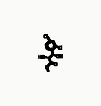 COC(=O)[C@@H](O)[C@H](O)c1ccc(Cl)cc1Cl